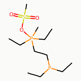 CCP(CC)CCP(C)(CC)(CC)OS(C)(=O)=O